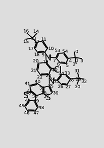 CC(C)(C)c1ccc(N(c2ccc(C(C)(C)C)cc2)c2cccc(N(c3ccc(C(C)(C)C)cc3)c3csc4c3ccc3sc5ccccc5c34)c2Cl)cc1